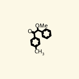 COC(C(=O)c1ccc(C)cc1)c1ccccc1